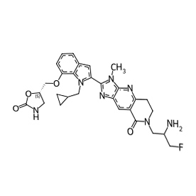 Cn1c(-c2cc3cccc(OC[C@@H]4CNC(=O)O4)c3n2CC2CC2)nc2cc3c(nc21)CCN(CC(N)CF)C3=O